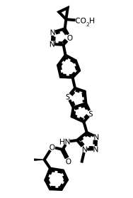 C[C@@H](OC(=O)Nc1c(-c2cc3sc(-c4ccc(-c5nnc(C6(C(=O)O)CC6)o5)cc4)cc3s2)nnn1C)c1ccccc1